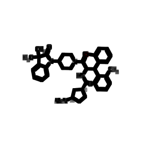 CN[C@@H]1CC[C@H](C(=O)NC(C(=O)N2CCC(N3C(=O)C(C)(C)c4ccccc43)CC2)C(c2ccccc2C)c2ccccc2Cl)C1